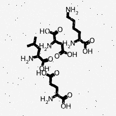 CC(C)CC(N)C(=O)O.NC(CC(=O)O)C(=O)O.NC(CCC(=O)O)C(=O)O.NCCCCC(N)C(=O)O